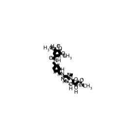 CNC(=O)[C@H]1O[C@@H](n2cnc3c(NCc4ccc(CNC(=O)c5cc(OC)c(OC)c(OC)c5)cc4)ncnc32)C(O)C1O